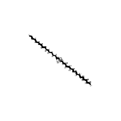 CCCCCCCCCCCCCCCCCC[N]([Ti])CCCCCCCCCCCCCCCCCC.Cl